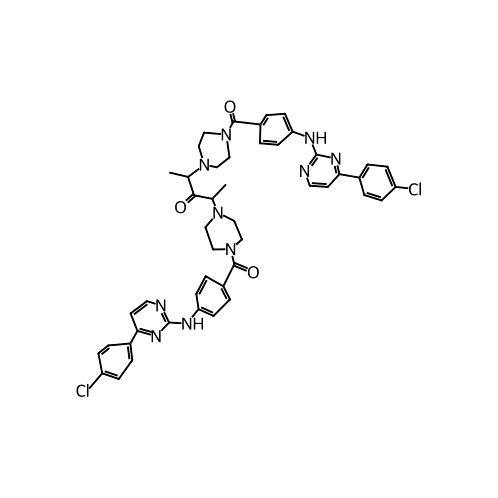 CC(C(=O)C(C)N1CCN(C(=O)c2ccc(Nc3nccc(-c4ccc(Cl)cc4)n3)cc2)CC1)N1CCN(C(=O)c2ccc(Nc3nccc(-c4ccc(Cl)cc4)n3)cc2)CC1